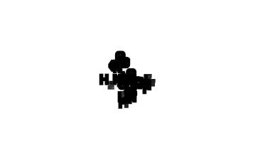 COC(=O)[C@H]1CCCN1C.C[C@H](C(N)=O)C(=O)Nc1ccc(C(F)(F)F)cc1-c1ccc(C(F)(F)F)nc1